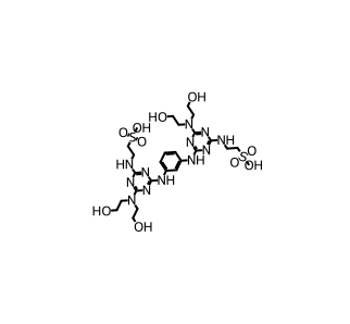 O=S(=O)(O)CCNc1nc(Nc2cccc(Nc3nc(NCCS(=O)(=O)O)nc(N(CCO)CCO)n3)c2)nc(N(CCO)CCO)n1